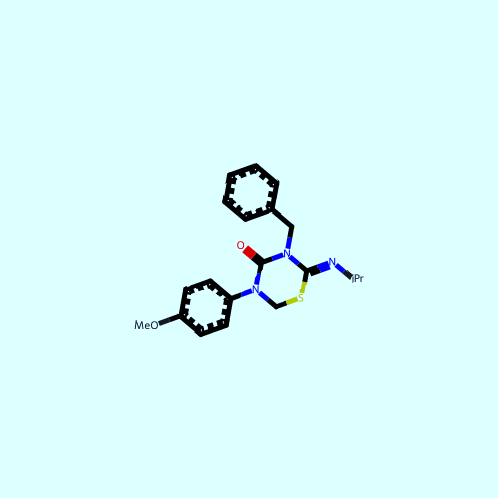 COc1ccc(N2CSC(=NC(C)C)N(Cc3ccccc3)C2=O)cc1